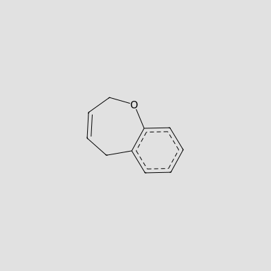 C1=CCc2ccccc2OC1